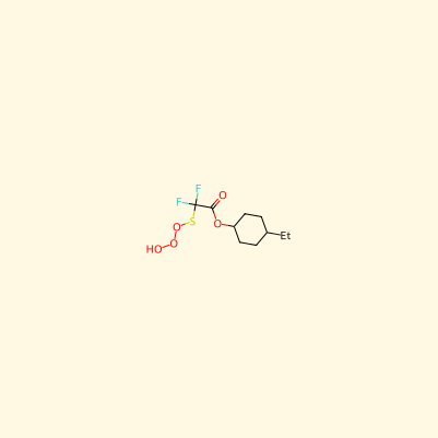 CCC1CCC(OC(=O)C(F)(F)SOOO)CC1